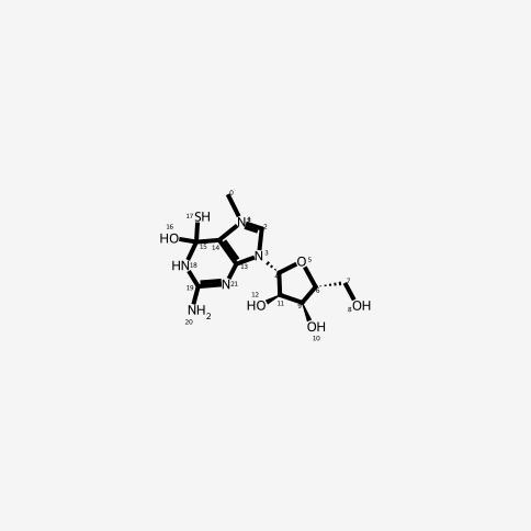 C[n+]1cn([C@@H]2O[C@H](CO)[C@@H](O)[C@H]2O)c2c1C(O)(S)NC(N)=N2